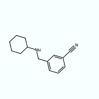 N#Cc1cccc(CNC2CCCCC2)c1